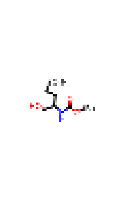 CC(C)(C)OC(=O)NC(CO)CCS(=O)(=O)O